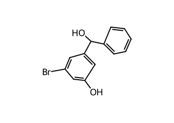 Oc1cc(Br)cc(C(O)c2ccccc2)c1